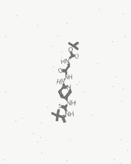 CC(NC(=S)Nc1ccc(NNC(=O)CNC(=O)OC(C)(C)C)nc1)C(C)(C)C